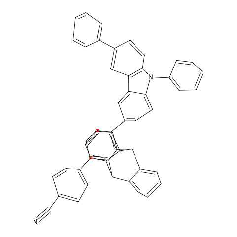 N#Cc1ccc(-c2ccc(-c3ccc4c(c3)c3cc(-c5ccccc5)ccc3n4-c3ccccc3)c3c2C2c4ccccc4C3c3ccccc32)cc1